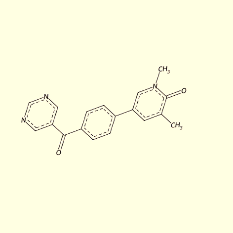 Cc1cc(-c2ccc(C(=O)c3cncnc3)cc2)cn(C)c1=O